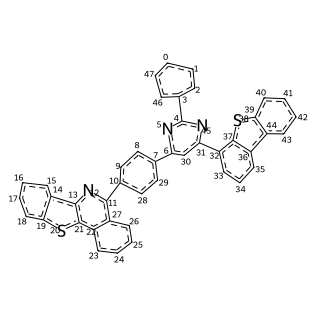 c1ccc(-c2nc(-c3ccc(-c4nc5c6ccccc6sc5c5ccccc45)cc3)cc(-c3cccc4c3sc3ccccc34)n2)cc1